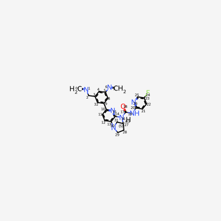 C=NCc1cc(N=C)cc(-c2ccc3c(n2)N(C(=O)Nc2ccc(F)cn2)[C@H]2CCN3C2)c1